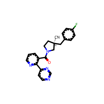 N#C[C@@]1(Cc2ccc(F)cc2)CCN(C(=O)c2cccnc2-c2ccncn2)C1